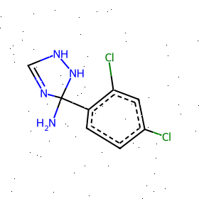 NC1(c2ccc(Cl)cc2Cl)N=CNN1